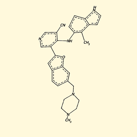 Cc1c(Nc2c(C#N)cncc2-c2cc3ccc(CN4CCN(C)CC4)cc3o2)ccc2[nH]ccc12